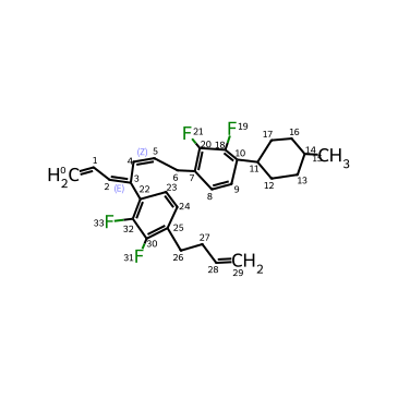 C=C/C=C(\C=C/Cc1ccc(C2CCC(C)CC2)c(F)c1F)c1ccc(CCC=C)c(F)c1F